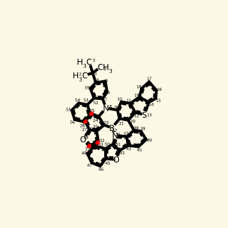 CC(C)(C)c1ccc(N2c3cc4c(sc5ccccc54)c4c3B(c3c2ccc2oc5ccccc5c32)n2c3c-4cccc3c3oc4ccccc4c32)c(-c2ccccc2)c1